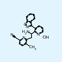 Cc1ccc(C#N)nc1CC(N)c1ncccc1-c1noc2ccccc12.Cl